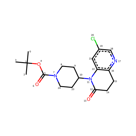 CC(C)(C)OC(=O)N1CCC(N2C(=O)CCc3ncc(Cl)cc32)CC1